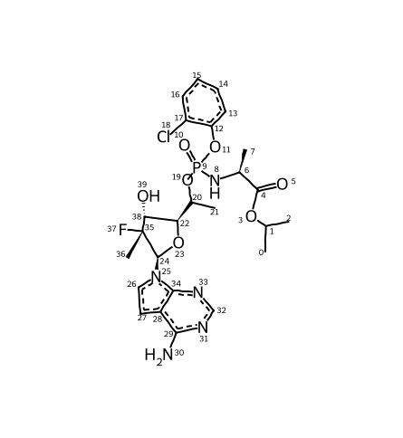 CC(C)OC(=O)[C@H](C)NP(=O)(Oc1ccccc1Cl)OC(C)[C@H]1O[C@@H](n2ccc3c(N)ncnc32)[C@](C)(F)[C@@H]1O